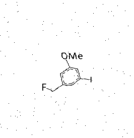 COc1cc(I)cc(CF)c1